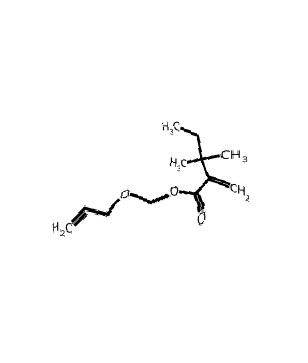 C=CCOCOC(=O)C(=C)C(C)(C)CC